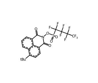 CC(C)(C)c1ccc2c3c(cccc13)C(=O)N(OS(=O)(=O)C(F)(F)C(F)(F)C(F)(F)C(F)(F)F)C2=O